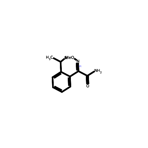 CO/N=C(/C(N)=O)c1ccccc1C(C)Br